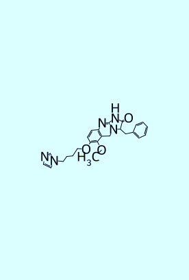 COc1c(OCCCCn2ccnc2)ccc2c1CN1C(=N2)NC(=O)C1Cc1ccccc1